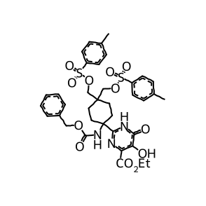 CCOC(=O)c1nc(C2(NC(=O)OCc3ccccc3)CCC(COS(=O)(=O)c3ccc(C)cc3)(COS(=O)(=O)c3ccc(C)cc3)CC2)[nH]c(=O)c1O